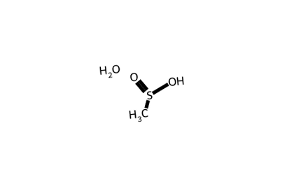 CS(=O)O.O